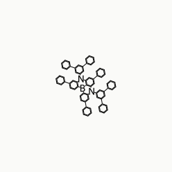 c1ccc(-c2cc(-c3ccccc3)cc(N3c4cc(-c5ccccc5)ccc4B4c5ccc(-c6ccccc6)cc5N(c5cc(-c6ccccc6)cc(-c6ccccc6)c5)c5cc(-c6ccccc6)cc3c54)c2)cc1